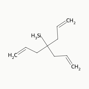 C=CCC([SiH3])(CC=C)CC=C